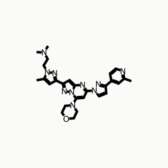 Cc1cc(-c2ccn(-c3cc(N4CCOCC4)n4nc(-c5cc(C)n(CCN(C)C)n5)cc4n3)n2)ccn1